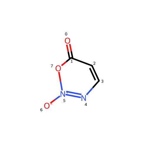 O=c1ccn[n+]([O-])o1